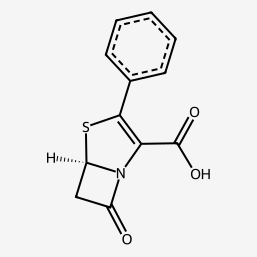 O=C(O)C1=C(c2ccccc2)S[C@@H]2CC(=O)N12